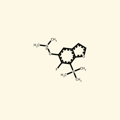 C[SiH](C)Oc1cc2ccoc2c([Si](C)(C)C)c1F